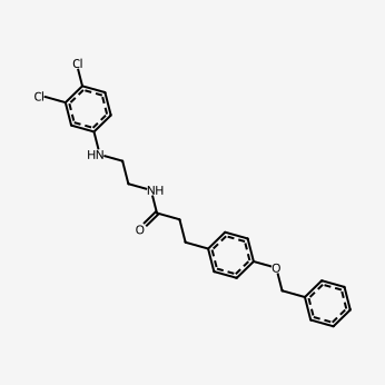 O=C(CCc1ccc(OCc2ccccc2)cc1)NCCNc1ccc(Cl)c(Cl)c1